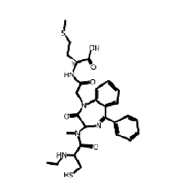 CCNC(CS)C(=O)N(C)C1N=C(c2ccccc2)c2ccccc2N(CC(=O)N[C@@H](CCSC)C(=O)O)C1=O